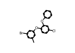 Cc1cc(Br)cc(Oc2ccc(Cl)cc2Oc2ccccc2)c1